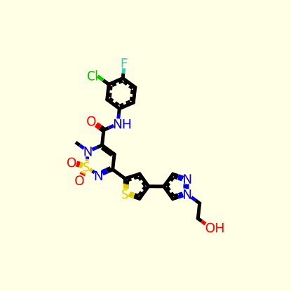 CN1C(C(=O)Nc2ccc(F)c(Cl)c2)=CC(c2cc(-c3cnn(CCO)c3)cs2)=NS1(=O)=O